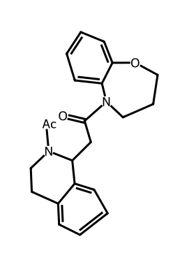 CC(=O)N1CCc2ccccc2C1CC(=O)N1CCCOc2ccccc21